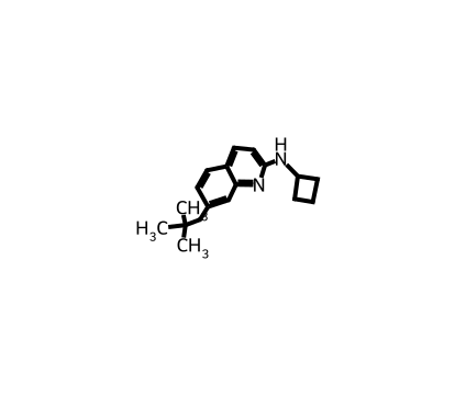 CC(C)(C)Cc1ccc2ccc(NC3CCC3)nc2c1